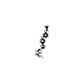 C[C@@H](COc1cnc(-c2ccc(Oc3cccc(OCC4CC4)c3)nc2)o1)NC(N)=O